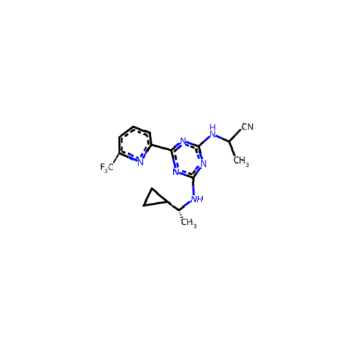 CC(C#N)Nc1nc(N[C@H](C)C2CC2)nc(-c2cccc(C(F)(F)F)n2)n1